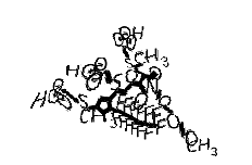 CCC(SCCS(=O)(=O)O)C1OC(CC(SCCS(=O)(=O)O)C2CC(C(C)SCCS(=O)(=O)O)CC2C(F)(F)C(F)(F)C(F)(F)C(F)(F)C(F)(F)C(F)(F)F)C2C(=O)N(CCOCCOCCOC)C(=O)C12